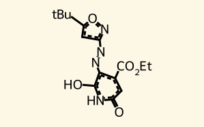 CCOC(=O)c1cc(=O)[nH]c(O)c1N=Nc1cc(C(C)(C)C)on1